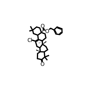 CC1(C)CC[C@]2(C(=O)OCc3ccccc3)CC[C@]3(C)C(=C(Cl)CC4[C@@]5(C)CCC(=O)C(C)(C)C5CC[C@]43C)C2C1